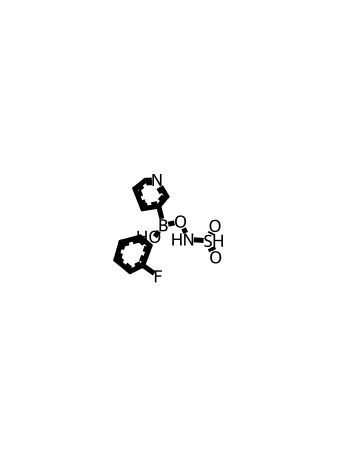 Fc1ccccc1.O=[SH](=O)NOB(O)c1cccnc1